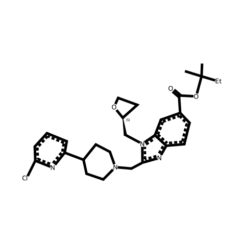 CCC(C)(C)OC(=O)c1ccc2nc(CN3CCC(c4cccc(Cl)n4)CC3)n(C[C@@H]3CCO3)c2c1